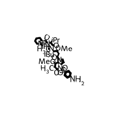 CC[C@H](C)[C@@H]([C@@H](CC(=O)N1CCC[C@H]1[C@H](OC)[C@@H](C)C(=O)NS(=O)(=O)c1ccc(N)cc1)OC)N(C)C(=O)[C@@H](NC(=O)[C@H]1CCCCN1C(C)C)C(C)C